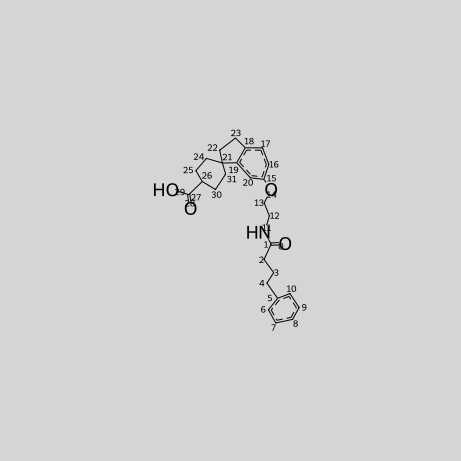 O=C(CCCc1ccccc1)NCCOc1ccc2c(c1)C1(CC2)CCC(C(=O)O)CC1